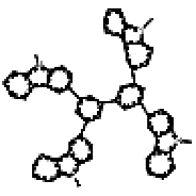 Cn1c2ccccc2c2cc(-c3cc(-c4cc(-c5ccc6c(c5)c5ccccc5n6C)cc(-c5ccc6c(c5)c5ccccc5n6C)c4)cc(-c4ccc5c(c4)c4ccccc4n5C)c3)ccc21